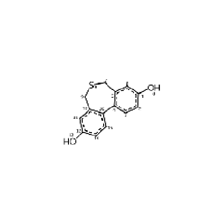 Oc1ccc2c(c1)CSCc1cc(O)ccc1-2